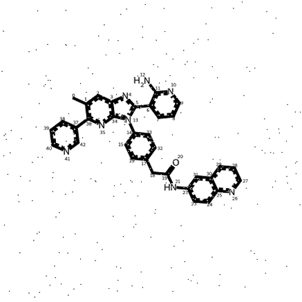 Cc1cc2nc(-c3cccnc3N)n(-c3ccc(CC(=O)Nc4ccc5ncccc5c4)cc3)c2nc1-c1cccnc1